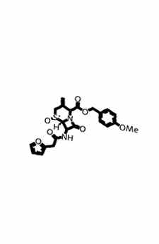 C=C1C[S+]([O-])[C@H]2C(NC(=O)Cc3ccco3)C(=O)N2C1C(=O)OCc1ccc(OC)cc1